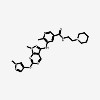 Cc1ncc(C(=O)NCCN2CCCCC2)cc1Nc1nn(C)c2nc(Nc3cnn(C)c3)ncc12